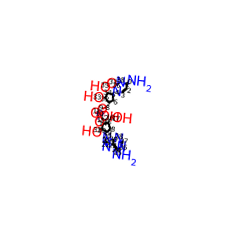 Nc1ccn([C@@H]2C[C@H](COP(=O)(O)O[C@@H]3[C@@H](CO)C[C@@H](n4cnc5c(N)ncnc54)[C@@H]3O)[C@@H](O)[C@H]2O)c(=O)n1